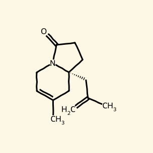 C=C(C)C[C@@]12CCC(=O)N1CC=C(C)C2